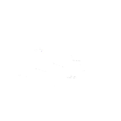 NCC(CCC(=O)O)c1c(Cl)cccc1Cl